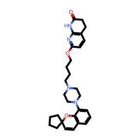 O=C1CCc2ccc(OCCCCN3CCN(c4cccc5c4OC4(C=C5)CCCC4)CC3)nc2N1